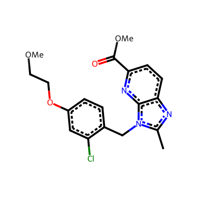 COCCOc1ccc(Cn2c(C)nc3ccc(C(=O)OC)nc32)c(Cl)c1